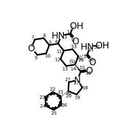 O=C(O)NC(C1CCOCC1)C1CC[C@H](C(=O)N2CC[C@H](c3ccccc3)C2)[C@@H](C(=O)NO)C1